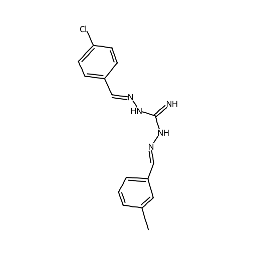 Cc1cccc(/C=N/NC(=N)N/N=C/c2ccc(Cl)cc2)c1